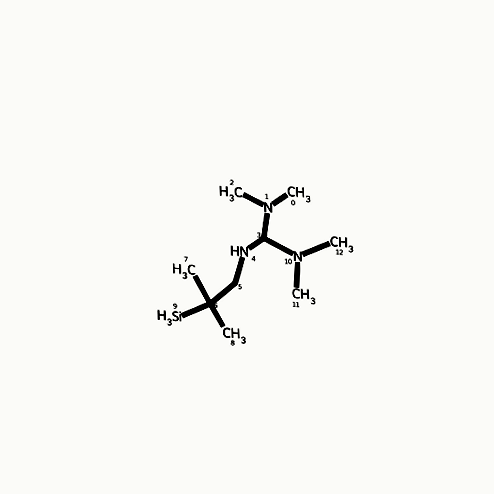 CN(C)C(NCC(C)(C)[SiH3])N(C)C